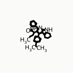 CCCC(C(=O)O)c1c(-c2ccccc2)nc2[nH]c3c(c2c1-c1ccc(C(C)C)cc1)CCCC3